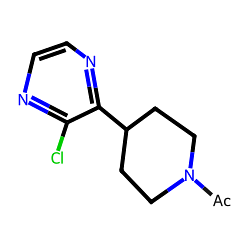 CC(=O)N1CCC(c2nccnc2Cl)CC1